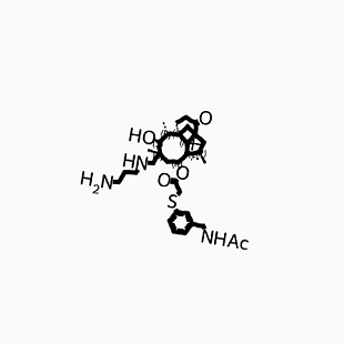 CC(=O)NCc1cccc(SCC(=O)O[C@@H]2C[C@](C)(CNCCCN)[C@@H](O)[C@H](C)[C@]34CCC(=O)C5(C[C@@H](C)[C@]2(C)[C@H]53)C4)c1